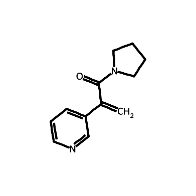 C=C(C(=O)N1CCCC1)c1cccnc1